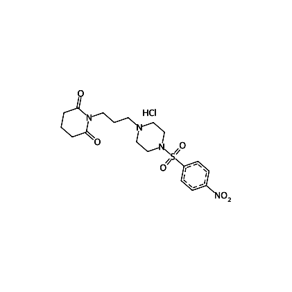 Cl.O=C1CCCC(=O)N1CCCN1CCN(S(=O)(=O)c2ccc([N+](=O)[O-])cc2)CC1